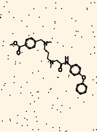 COC(=O)c1ccc(CN(C)CCCN(C)CC(=O)Nc2ccc(Oc3ccccc3)cc2)cc1